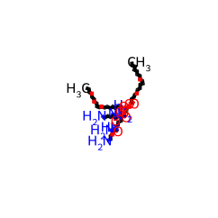 CCCCCCCC/C=C\CCCCCCCC(=O)OC[C@@H](COC(=O)C(CCCNC(=O)C(N)CCCN)NC(=O)C(N)CCCN)OC(=O)CCCCCCC/C=C\CCCCCCCC